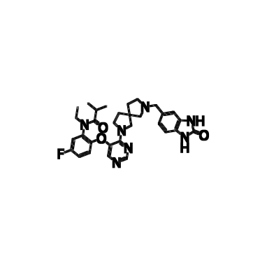 CCN(C(=O)C(C)C)c1cc(F)ccc1Oc1cncnc1N1CCC2(CCN(Cc3ccc4[nH]c(=O)[nH]c4c3)C2)C1